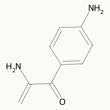 C=C(N)C(=O)c1ccc(N)cc1